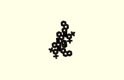 CC(C)(C)c1cc(N(c2ccc3c(ccc4ccccc43)c2)c2cc3c(c4ccccc24)Sc2c(cc(N(c4cc(C(C)(C)C)cc(C(C)(C)C)c4)c4ccc5c(ccc6ccccc65)c4)c4ccccc24)C32C3CC4CC(C3)CC2C4)cc(C(C)(C)C)c1